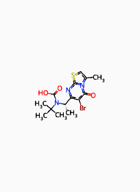 Cc1csc2nc([C@H](C)N(C(=O)O)C(C)(C)C)c(Br)c(=O)n12